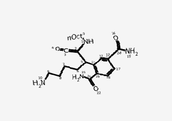 CCCCCCCCNC(=C=O)C(CCCCN)c1cc(C(N)=O)ccc1C(N)=O